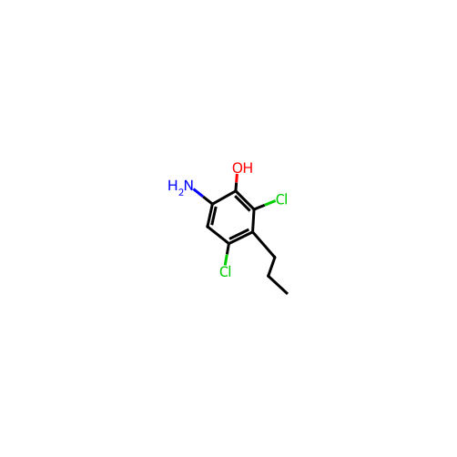 CCCc1c(Cl)cc(N)c(O)c1Cl